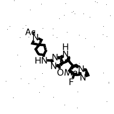 COc1nc(NC2CCC3(CC2)CN(C(C)=O)C3)nc2[nH]cc(-c3cc(F)c4nccn4c3)c12